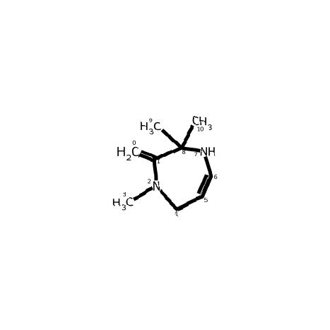 C=C1N(C)CC=CNC1(C)C